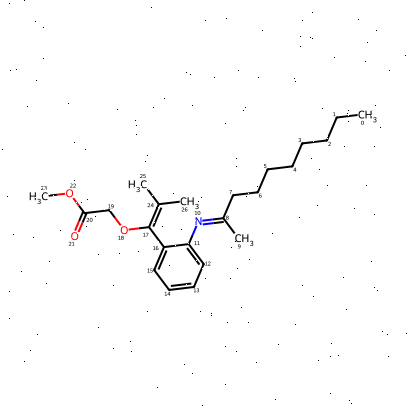 CCCCCCCC/C(C)=N/c1ccccc1C(OCC(=O)OC)=C(C)C